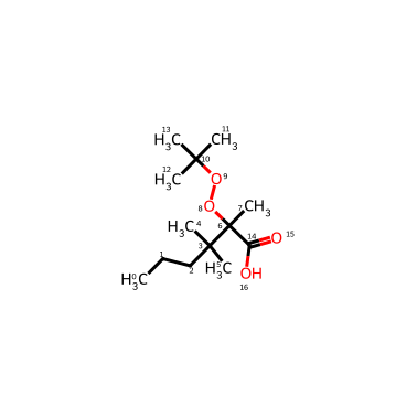 CCCC(C)(C)C(C)(OOC(C)(C)C)C(=O)O